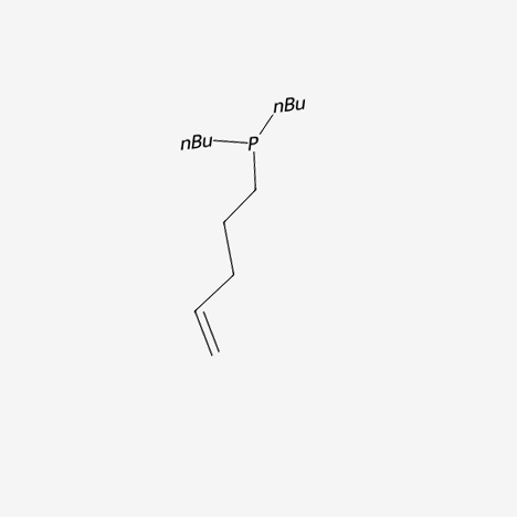 C=CCCCP(CCCC)CCCC